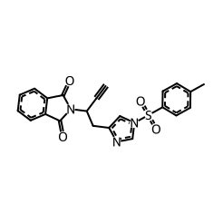 C#CC(Cc1cn(S(=O)(=O)c2ccc(C)cc2)cn1)N1C(=O)c2ccccc2C1=O